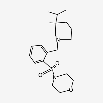 CC(C)C1(C)CCCN(Cc2ccccc2S(=O)(=O)N2CCOCC2)C1